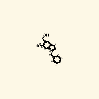 OCc1cc2ccn(Cc3ccccc3)c2cc1Br